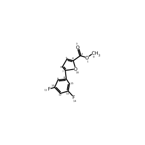 COC(=O)c1ccc(-c2cc(F)cc(F)c2)o1